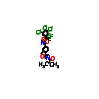 CC(C)C(=O)N1CC2(C1)OCc1cc(C3=NOC(c4cc(Cl)c(Cl)c(Cl)c4)(C(F)(F)F)O3)ccc12